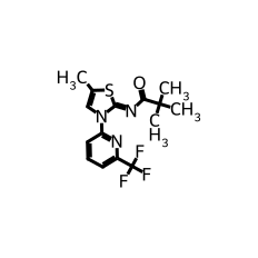 Cc1cn(-c2cccc(C(F)(F)F)n2)/c(=N/C(=O)C(C)(C)C)s1